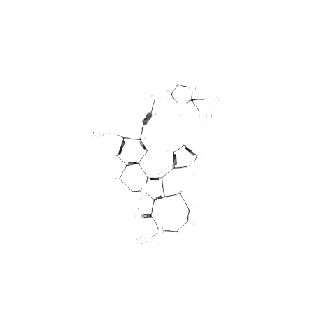 COc1cc2c(cc1C#CC[C@@H]1COC(C)(C)O1)-c1c(-c3cccs3)c3c(n1CC2)C(=O)N(C(C)(C)C)CCCC3